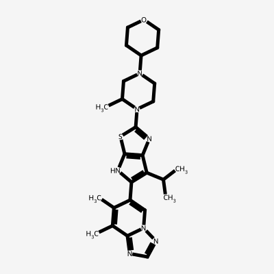 Cc1c(-c2[nH]c3sc(N4CCN(C5CCOCC5)CC4C)nc3c2C(C)C)cn2ncnc2c1C